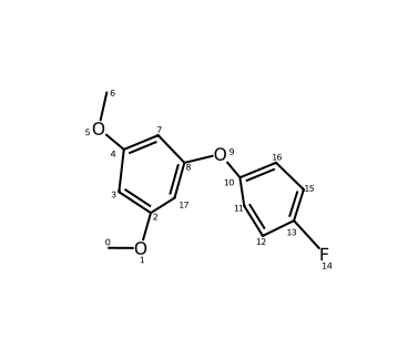 COc1cc(OC)cc(Oc2ccc(F)cc2)c1